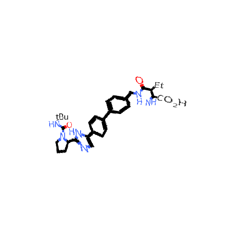 CCC(C(=N)C(=O)O)C(=O)NCc1ccc(-c2ccc(-c3cnc(C4CCCN4C(=O)NC(C)(C)C)[nH]3)cc2)cc1